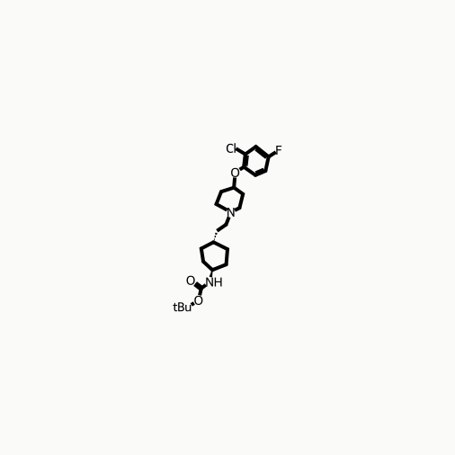 CC(C)(C)OC(=O)N[C@H]1CC[C@H](CCN2CCC(Oc3ccc(F)cc3Cl)CC2)CC1